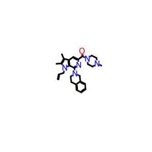 C=CCn1c(C)c(C)c2cc(C(=O)N3CCN(C)CC3)nc(N3CCc4ccccc4C3)c21